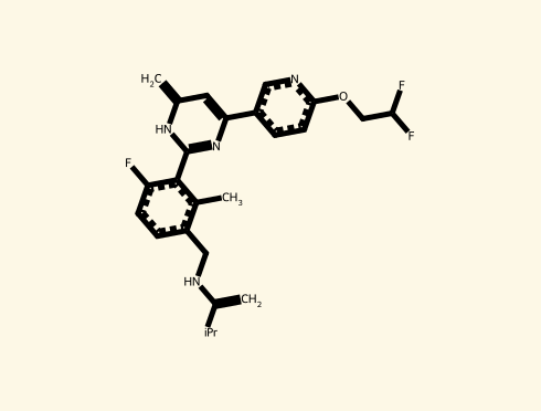 C=C1C=C(c2ccc(OCC(F)F)nc2)N=C(c2c(F)ccc(CNC(=C)C(C)C)c2C)N1